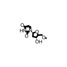 COCC1O[C@@H](n2ccc(=O)[nH]c2=O)C[C@H]1O